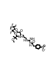 COC(C)(C)C(=O)N[C@@H](CCCNC(=N)NC(=O)Cc1ccc([N+](=O)[O-])cc1)C(=O)COC(C(F)(F)F)C(F)(F)F